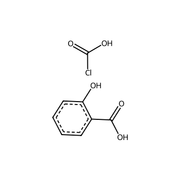 O=C(O)Cl.O=C(O)c1ccccc1O